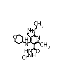 CCn1ncc2c(NC3CCOCC3)c(C(=O)NNCl)c(C)nc21